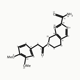 COc1ccc(CC(=O)N2CCc3[c]nc(C(N)=O)nc3C2)cc1OC